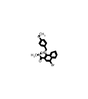 COc1ccc(COc2c(C(=O)N(C)C)cc(Br)c3ccccc23)cc1